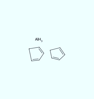 C1=CCC=C1.C1=CCC=C1.[AlH3]